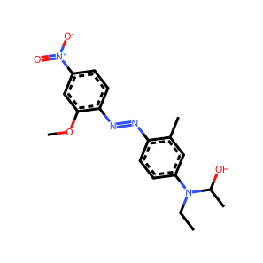 CCN(c1ccc(/N=N/c2ccc([N+](=O)[O-])cc2OC)c(C)c1)C(C)O